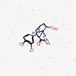 CCC(=O)[C@H]1[C@@H](c2ccc(Cl)c(Cl)c2)CC2CC(O)[C@H]1N2C